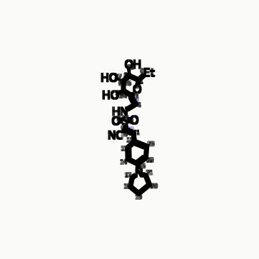 CCC1O/C(=C/NS(=O)(=O)/C(C#N)=C/c2ccc(N3CCCCC3)cc2)[C@@H](O)[C@H](O)[C@H]1O